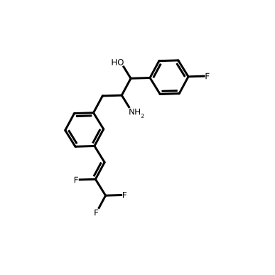 NC(Cc1cccc(C=C(F)C(F)F)c1)C(O)c1ccc(F)cc1